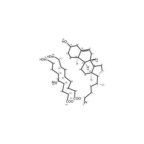 CC(C)CCC[C@@H](C)[C@H]1CCC2[C@H]3CC=C4CC(O)CC[C@]4(C)[C@@H]3CC[C@@]21C.CCCCCCCCCCCCCCCCCC(=O)[O-].CCCCCCCCCCCCCCCCCC(=O)[O-].[Mg+2]